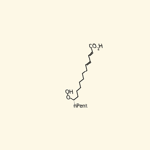 CCCCC[C@@H](CCCCCCCC=CC=CC(=O)O)OO